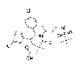 CC(CCN(C)S(=O)(=O)C(C)(C)C)N1C(=O)C(C)(CC(=O)O)CC(c2cccc(Cl)c2)C1c1ccc(Cl)cc1